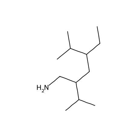 CCC(CC(CN)C(C)C)C(C)C